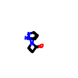 O=C1CCN1.c1cn[nH]c1